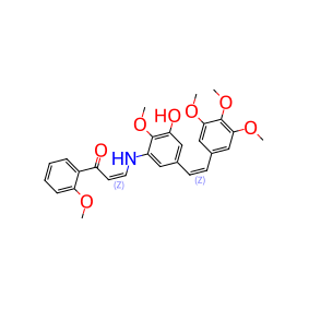 COc1ccccc1C(=O)/C=C\Nc1cc(/C=C\c2cc(OC)c(OC)c(OC)c2)cc(O)c1OC